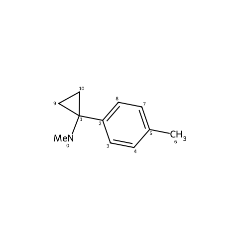 CNC1(c2ccc(C)cc2)CC1